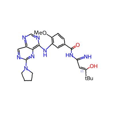 COc1ccc(C(=O)NC(=N)/C=C(\O)C(C)(C)C)cc1Nc1ncnc2cnc(N3CCCC3)nc12